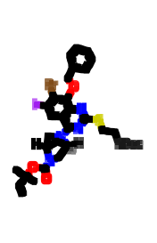 C=CC(C)(C)OC(=O)N1C[C@@H]2C[C@H]1CN2c1nc(SCCCCCCCCCCCC)nc2c(OCc3ccccc3)c(Br)c(I)cc12